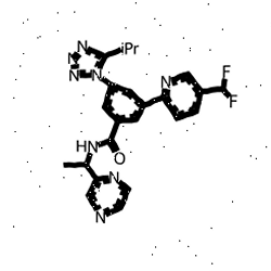 CC(C)c1nnnn1-c1cc(C(=O)NC(C)c2cnccn2)cc(-c2ccc(C(F)F)cn2)c1